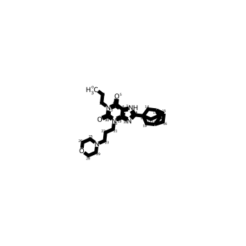 CCCn1c(=O)c2[nH]c(C34CC5CC(C3)C(C5)C4)nc2n(CCCN2CCOCC2)c1=O